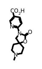 CN1CCC2(CC1)CN(c1ccc(C(=O)O)cn1)C(=O)O2